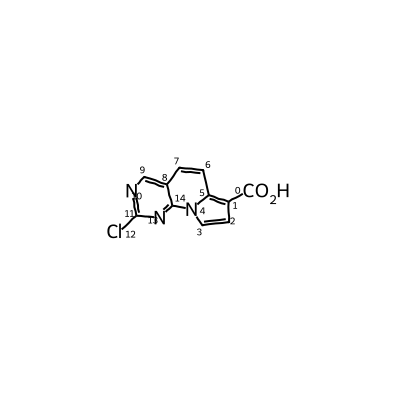 O=C(O)c1ccn2c1ccc1cnc(Cl)nc12